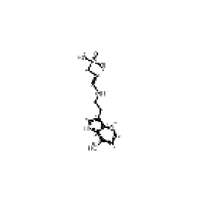 O=P(O)(O)CC=CNCCc1c[nH]c2c(O)ncnc12